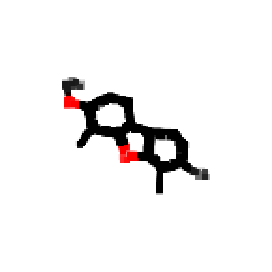 CCCCOc1ccc2c(oc3c(C)c(CC)ccc32)c1C